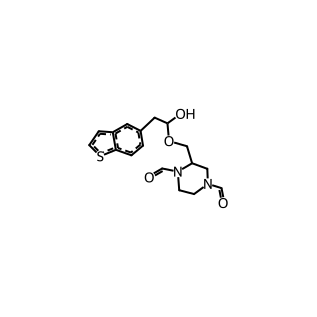 O=CN1CCN(C=O)C(COC(O)Cc2ccc3sccc3c2)C1